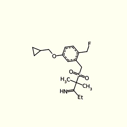 CCC(=N)C(C)(C)S(=O)(=O)Cc1cc(OCC2CC2)ccc1CF